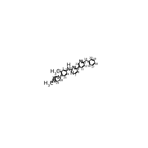 Cc1cc(Nc2nccc(-c3ccc(Cc4ccccc4)nc3)n2)ccc1N1CC2CC1CN2C